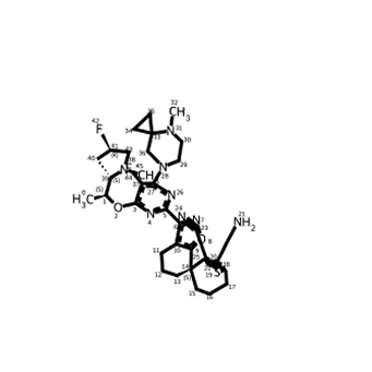 C[C@H](Oc1nc(-c2noc3c2CCC[C@@]32CCCc3sc(N)c(C#N)c32)nc(N2CCN(C)C3(CC3)C2)c1F)[C@@H]1C[C@@H](F)CN1C